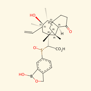 C=C[C@]1(C)C[C@@H](C(C(=O)O)[S+]([O-])c2ccc3c(c2)B(O)OC3)[C@]2(C)[C@H](C)CC[C@]3(CCC(=O)[C@H]32)[C@@H](C)[C@@H]1O